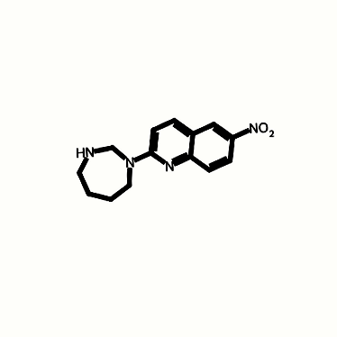 O=[N+]([O-])c1ccc2nc(N3CCCCNC3)ccc2c1